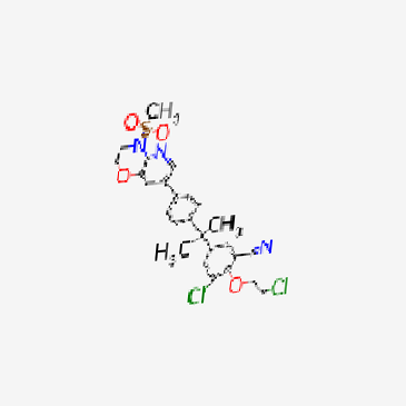 CC(C)(c1ccc(-c2cnc3c(c2)OCCN3S(C)(=O)=O)cc1)c1cc(Cl)c(OCCCl)c(C#N)c1